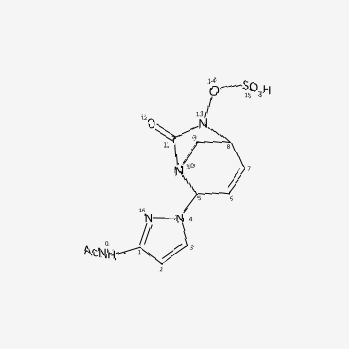 CC(=O)Nc1ccn(C2C=CC3CN2C(=O)N3OS(=O)(=O)O)n1